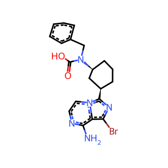 Nc1nccn2c([C@@H]3CCC[C@H](N(Cc4ccccc4)C(=O)O)C3)nc(Br)c12